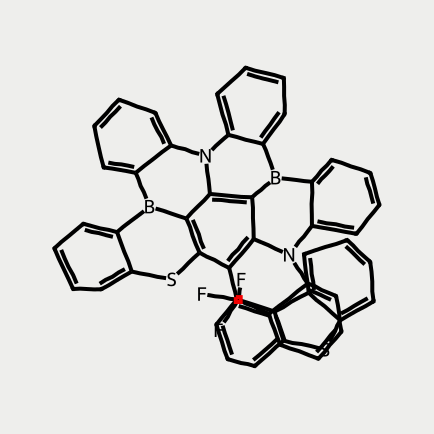 FC(F)(F)c1ccccc1N1c2ccccc2B2c3ccccc3N3c4ccccc4B4c5ccccc5Sc5c4c3c2c1c5-c1cccc2sc3ccccc3c12